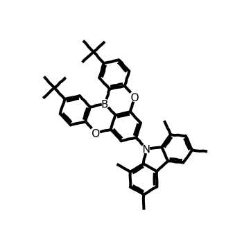 Cc1cc(C)c2c(c1)c1cc(C)cc(C)c1n2-c1cc2c3c(c1)Oc1ccc(C(C)(C)C)cc1B3c1cc(C(C)(C)C)ccc1O2